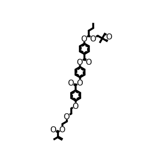 C=C(C)C(=O)OCCOCCOc1ccc(C(=O)Oc2ccc(OC(=O)c3ccc(OC(CCC)OCC4(C)COC4)cc3)cc2)cc1